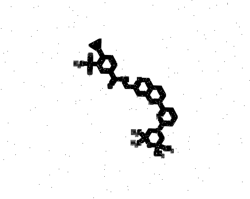 CC1(C)CN(c2cccc(-c3ccc4cnc(CNC(=O)c5ccc(C6CC6)c(S(C)(=O)=O)c5)cc4n3)n2)CC(C)(C)O1